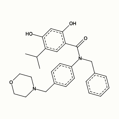 CC(C)c1cc(C(=O)N(Cc2ccccc2)c2ccc(CN3CCOCC3)cc2)c(O)cc1O